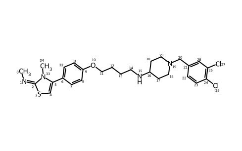 CN=c1scc(-c2ccc(OCCCCNC3CCN(Cc4ccc(Cl)c(Cl)c4)CC3)cc2)n1C